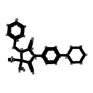 CC1(C)C(=O)N(c2ccc(N3CCCCC3)cc2)C(=O)N1Cc1ccncc1